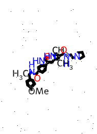 COc1ccc([C@@H](C)NC(=O)c2ccc3c(c2)NC(=O)/C3=C\c2[nH]c(C)c(C(=O)NCCN3CCCC3)c2C)cc1